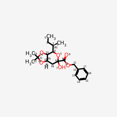 CC[C@@H](C)C1OC(O)(C(=O)OCc2ccccc2)C[C@H]2OC(C)(C)OC12